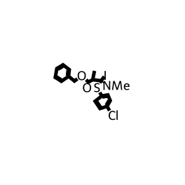 CN[C@](I)(Sc1ccc(Cl)cc1)C(C)C(=O)OCc1ccccc1